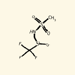 CS(=O)(=O)N[S+]([O-])C(F)(F)F